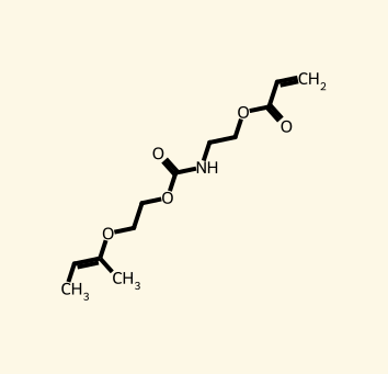 C=CC(=O)OCCNC(=O)OCCO/C(C)=C/C